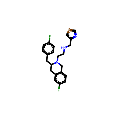 Fc1ccc(CC2Cc3cc(F)ccc3CN2CCNCc2cscn2)cc1